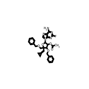 CC(=O)OC1C(n2cnc3c(N)nc(F)nc32)OC(C=C2CC2)(COCc2ccccc2)C1OCc1ccccc1